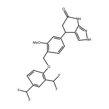 COc1cc(C2CC(=O)Nc3n[nH]cc32)ccc1COc1ccc(C(F)F)cc1C(F)F